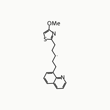 COc1csc(CC[CH]CCc2cccc3cccnc23)n1